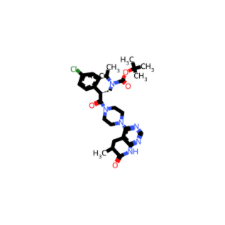 CC1Cc2c(ncnc2N2CCN(C(=O)[C@@H](CN(C(=O)OC(C)(C)C)C(C)C)c3ccc(Cl)cc3)CC2)NC1=O